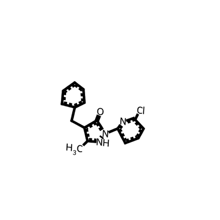 Cc1[nH]n(-c2cccc(Cl)n2)c(=O)c1Cc1ccccc1